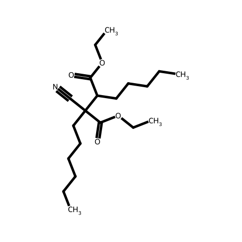 CCCCCCC(C#N)(C(=O)OCC)C(CCCCC)C(=O)OCC